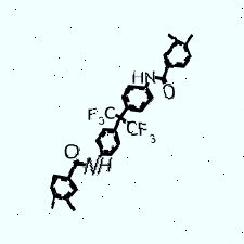 Cc1ccc(C(=O)Nc2ccc(C(c3ccc(NC(=O)c4ccc(C)c(C)c4)cc3)(C(F)(F)F)C(F)(F)F)cc2)cc1C